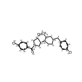 C[C@H]1CN(Cc2ccc(Cl)cc2)CCN1[C@H]1CN(C(=O)c2ccc(Cl)cc2)C[C@@H]1O